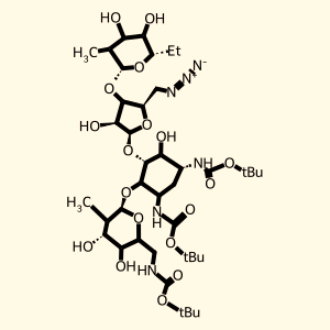 CC[C@@H]1O[C@H](OC2[C@@H](CN=[N+]=[N-])O[C@@H](O[C@H]3C(O[C@H]4OC(CNC(=O)OC(C)(C)C)C(O)[C@H](O)C4C)C(NC(=O)OC(C)(C)C)C[C@@H](NC(=O)OC(C)(C)C)C3O)[C@H]2O)C(C)C(O)C1O